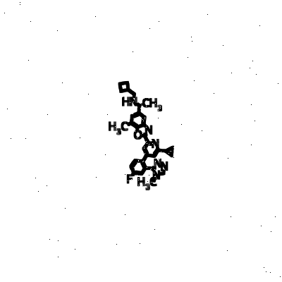 Cc1cc([C@@H](C)NCC2CCC2)cc2nc(-c3cc(-c4ccc(F)cc4-c4nncn4C)cc(C4CC4)n3)oc12